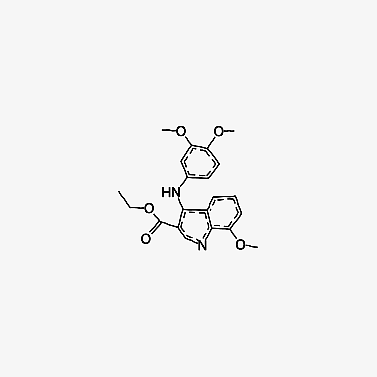 CCOC(=O)c1cnc2c(OC)cccc2c1Nc1ccc(OC)c(OC)c1